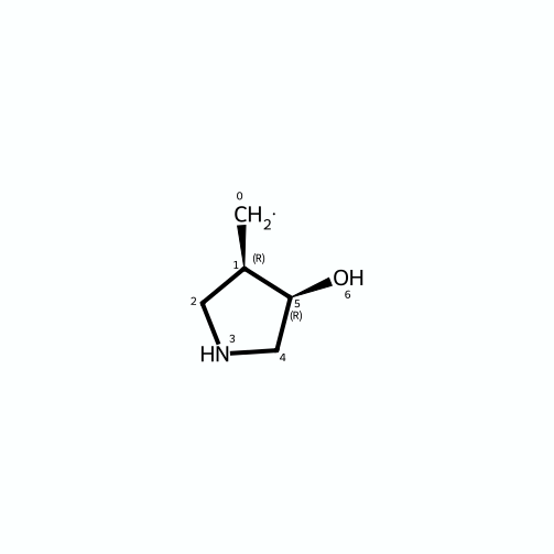 [CH2][C@@H]1CNC[C@@H]1O